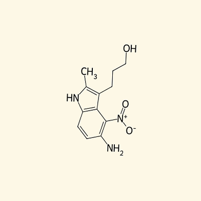 Cc1[nH]c2ccc(N)c([N+](=O)[O-])c2c1CCCO